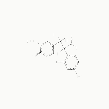 Cn1cc(C(C)(O)C(F)(c2ccc(Br)cc2Cl)C(F)F)ccc1=O